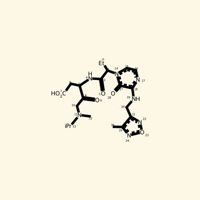 CCC(C(=O)NC(CC(=O)O)C(=O)CN(C)C(C)C)n1ccnc(NCc2nonc2C)c1=O